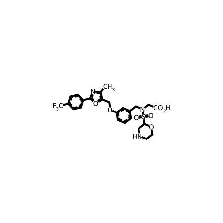 Cc1nc(-c2ccc(C(F)(F)F)cc2)oc1COc1cccc(CN(CC(=O)O)S(=O)(=O)C2CNCCO2)c1